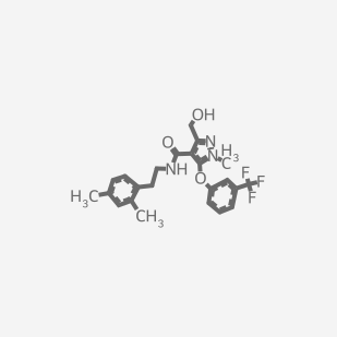 Cc1ccc(CCNC(=O)c2c(CO)nn(C)c2Oc2cccc(C(F)(F)F)c2)c(C)c1